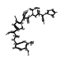 COC(=O)C(CNC(=O)c1cccs1)NC(=O)c1sc(C(=O)NCc2ccc(F)c(O)c2)cc1C